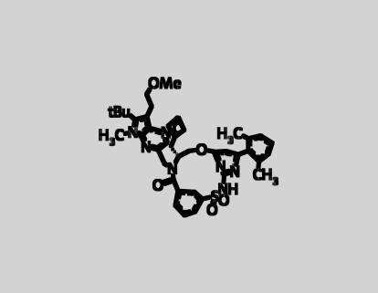 COCCc1c(C(C)(C)C)n(C)c2nc(CN3C(=O)c4cccc(c4)S(=O)(=O)Nc4nc(cc(-c5c(C)cccc5C)n4)OC[C@H]3CC34CC(C3)C4)cnc12